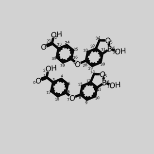 O=C(O)c1ccc(Oc2ccc3c(c2)COB3O)cc1.O=C(O)c1ccc(Oc2ccc3c(c2)COB3O)cc1